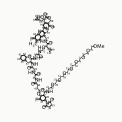 COCCOCCOCCOCCOCCOCCOCCOCCNC(=O)c1cc(N2C(=O)C=CC2=O)cc(F)c1OCCCC(=O)NCC(=O)NCC(=O)N[C@@H](Cc1ccccc1)C(=O)NCC(=O)NCO[C@@H](C(=O)NCc1c2c(nc3cc(F)c(C)cc13)-c1cc3c(c(=O)n1C2)COC(=O)[C@]3(O)CC1CC1)C1CC1